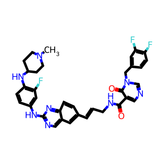 CN1CCC(Nc2ccc(Nc3ncc4cc(/C=C/CNC(=O)c5cncn(Cc6ccc(F)c(F)c6)c5=O)ccc4n3)cc2F)CC1